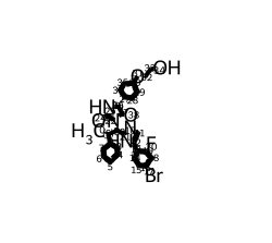 C[C@@H](c1ccccc1)C(c1ncc(-c2ccc(Br)cc2F)[nH]1)N1C(=O)N[C@H](c2ccc(OCCO)cc2)C1=O